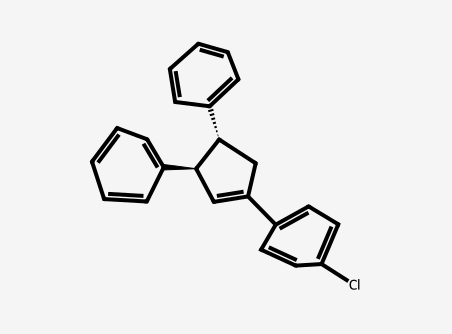 Clc1ccc(C2=C[C@@H](c3ccccc3)[C@H](c3ccccc3)C2)cc1